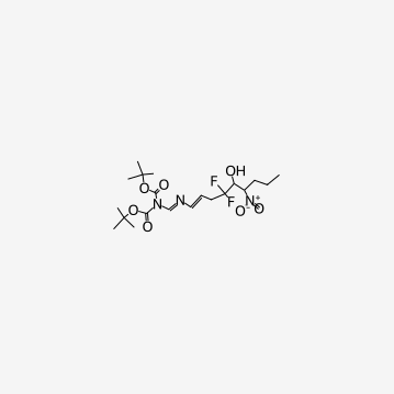 CCCC(C(O)C(F)(F)CC=CN=CN(C(=O)OC(C)(C)C)C(=O)OC(C)(C)C)[N+](=O)[O-]